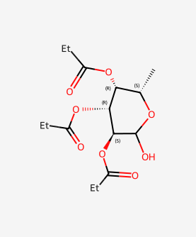 CCC(=O)O[C@@H]1[C@H](OC(=O)CC)[C@H](C)OC(O)[C@H]1OC(=O)CC